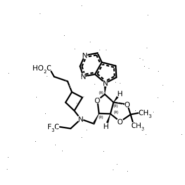 CC1(C)O[C@@H]2[C@H](O1)[C@@H](CN(CC(F)(F)F)C1CC(CCC(=O)O)C1)O[C@H]2n1ccc2cncnc21